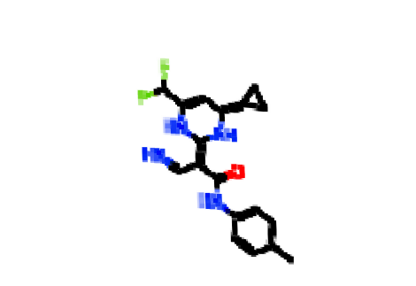 Cc1ccc(NC(=O)/C(C=N)=C2/NC(C(F)F)=CC(=C3CC3)N2)cc1